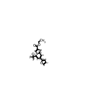 CCOC(=O)c1cn2c(C(F)(F)Cl)cc(-c3ccco3)cc2n1